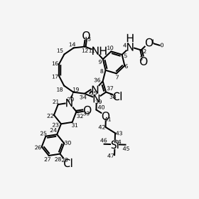 COC(=O)Nc1ccc2c(c1)NC(=O)CCC=CC[C@H](N1CCC(c3cccc(Cl)c3)CC1=O)c1nc-2c(Cl)n1COCC[Si](C)(C)C